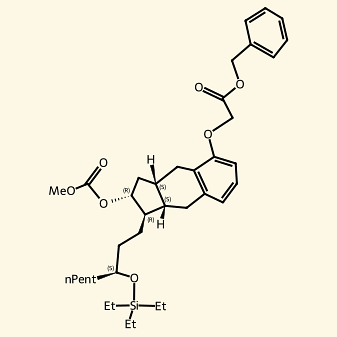 CCCCC[C@@H](CC[C@@H]1[C@H]2Cc3cccc(OCC(=O)OCc4ccccc4)c3C[C@H]2C[C@H]1OC(=O)OC)O[Si](CC)(CC)CC